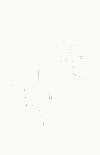 O=S(=O)(c1c(F)c(F)c(F)c(F)c1F)N(I)S(=O)(=O)C(F)(F)F